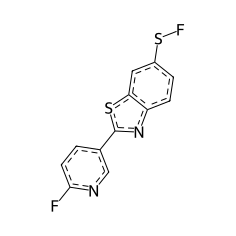 FSc1ccc2nc(-c3ccc(F)nc3)sc2c1